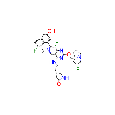 CCc1c(F)ccc2cc(O)cc(-c3ncc4c(NCCC5CNC(=O)C5)nc(OC[C@@]56CCCN5C[C@H](F)C6)nc4c3F)c12